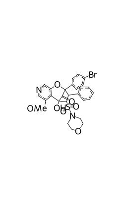 COc1cncc2c1C1(O)C(=O)C(c3ccc(Br)cc3)(O2)C(c2ccccc2)C1S(=O)(=O)N1CCOCC1